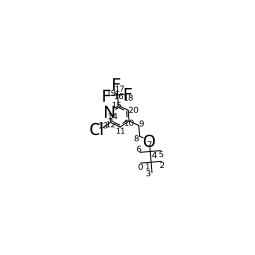 CC(C)(C)C(C)(C)OCCc1cc(Cl)nc(C(F)(F)F)c1